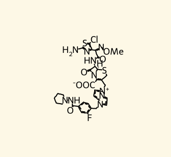 CO/N=C(\C(=O)N[C@@H]1C(=O)N2C(C(=O)[O-])=C(C[n+]3ccc4n(Cc5ccc(C(=O)NN6CCCCC6)cc5F)ccn43)CS[C@H]12)c1nc(N)sc1Cl